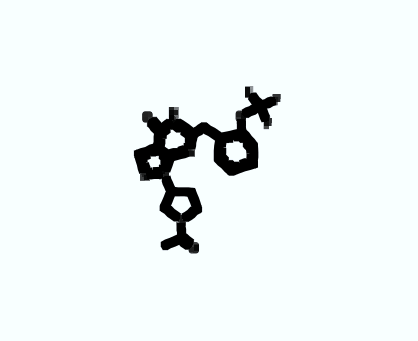 CC(=O)N1CCC(n2ncc3c(=O)[nH]c(Cc4ccccc4OC(F)(F)F)nc32)C1